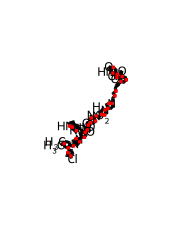 CC1(C)CCC(CN2CCN(c3ccc(C(=O)NS(=O)(=O)c4ccc(NCC5CCN(C6CCN(CCCCCCC#Cc7cccc8c7C(=O)N(C7CCC(=O)NC7=O)C8=O)CC6)CC5)c([N+](=O)[O-])c4)c(Oc4cnc5[nH]ccc5c4)c3)CC2)=C(c2ccc(Cl)cc2)C1